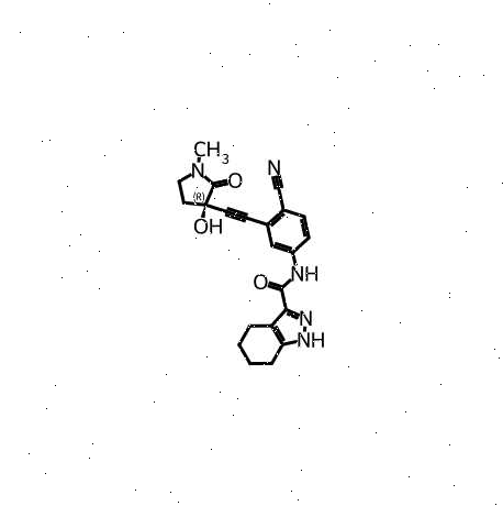 CN1CC[C@@](O)(C#Cc2cc(NC(=O)c3n[nH]c4c3CCCC4)ccc2C#N)C1=O